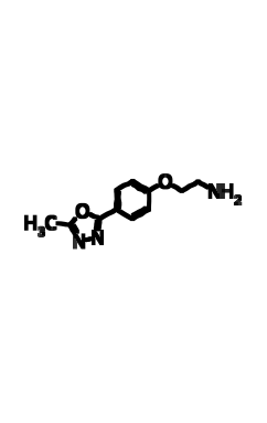 Cc1nnc(-c2ccc(OCCN)cc2)o1